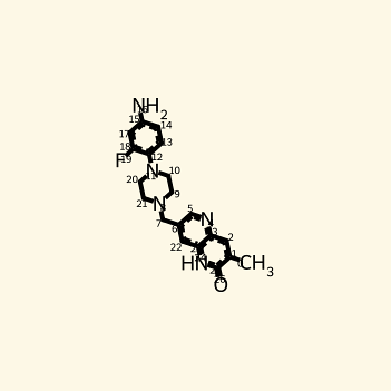 Cc1cc2ncc(CN3CCN(c4ccc(N)cc4F)CC3)cc2[nH]c1=O